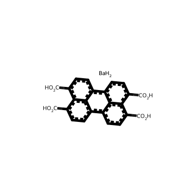 O=C(O)c1ccc2c3ccc(C(=O)O)c4c(C(=O)O)ccc(c5ccc(C(=O)O)c1c25)c43.[BaH2]